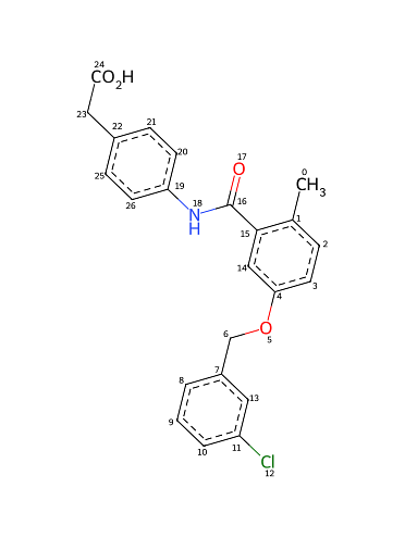 Cc1ccc(OCc2cccc(Cl)c2)cc1C(=O)Nc1ccc(CC(=O)O)cc1